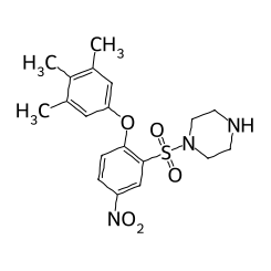 Cc1cc(Oc2ccc([N+](=O)[O-])cc2S(=O)(=O)N2CCNCC2)cc(C)c1C